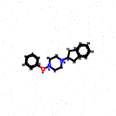 c1ccc(ON2CCN(C3Cc4ccccc4C3)CC2)cc1